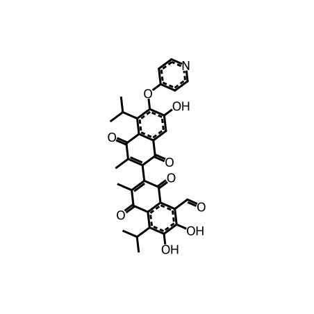 CC1=C(C2=C(C)C(=O)c3c(c(C=O)c(O)c(O)c3C(C)C)C2=O)C(=O)c2cc(O)c(Oc3ccncc3)c(C(C)C)c2C1=O